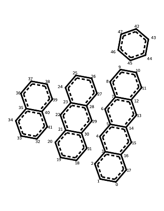 c1ccc2cc3cc4ccccc4cc3cc2c1.c1ccc2cc3ccccc3cc2c1.c1ccc2ccccc2c1.c1ccccc1